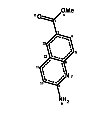 COC(=O)c1ccc2nc(N)ccc2c1